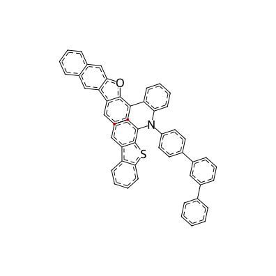 c1ccc(-c2cccc(-c3ccc(N(c4ccccc4-c4cccc5c4oc4cc6ccccc6cc45)c4cccc5c4sc4ccccc45)cc3)c2)cc1